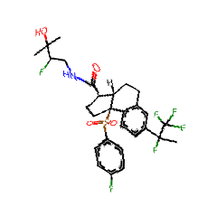 CC(C)(O)[C@H](F)CNC(=O)[C@@H]1CC[C@@]2(S(=O)(=O)c3ccc(F)cc3)c3ccc(C(C)(F)C(F)(F)F)cc3CC[C@@H]12